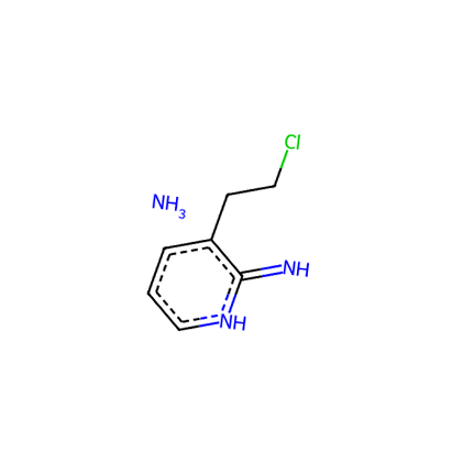 N.N=c1[nH]cccc1CCCl